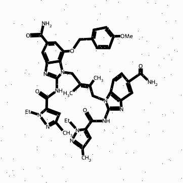 CCn1nc(C)cc1C(=O)Nc1nc2cc(C(N)=O)ccc2n1C/C(C)=C(\C)Cn1c(NC(=O)c2cc(C)nn2CC)nc2cc(C(N)=O)cc(OCc3ccc(OC)cc3)c21